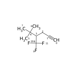 C#CCC(C(C)(C)C)C(F)(F)F